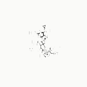 C#C[C@](F)(C(O)C(COP(N)(=O)NC(CC(C)C)C(=O)OCC)OC)C(C)n1cnc2c(NC3CC3)nc(N)nc21